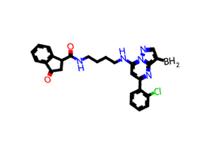 Bc1cnn2c(NCCCCNC(=O)C3CC(=O)c4ccccc43)cc(-c3ccccc3Cl)nc12